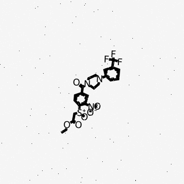 CCOC(=O)C[S+]([O-])c1ccc(C(=O)N2CCN(c3cccc(C(F)(F)F)c3)CC2)cc1[N+](=O)[O-]